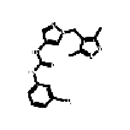 Cc1noc(C)c1Cn1cc(NC(=S)Nc2cccc(N)c2)cn1